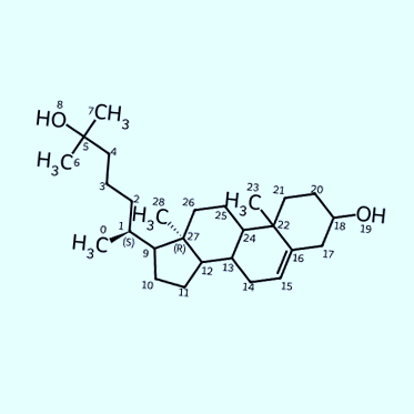 C[C@@H](CCCC(C)(C)O)C1CCC2C3CC=C4CC(O)CCC4(C)C3CC[C@@]21C